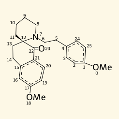 COc1ccc(CCN2CCCC[C@@]23CCc2cc(OC)ccc2C3=O)cc1